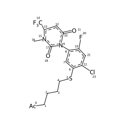 CC(=O)CCCCSc1cc(-n2c(=O)cc(C(F)(F)F)n(C)c2=O)c(F)cc1Cl